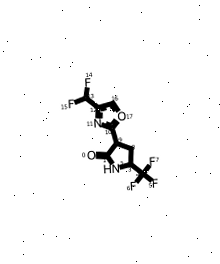 O=C1NC(C(F)(F)F)CC1c1nc(C(F)F)co1